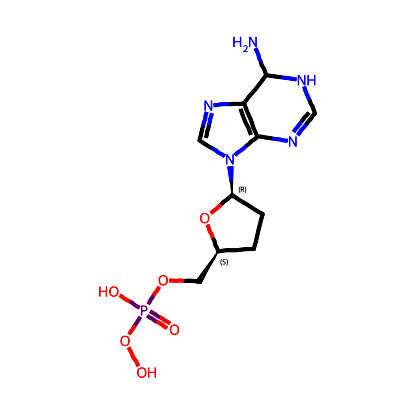 NC1NC=Nc2c1ncn2[C@H]1CC[C@@H](COP(=O)(O)OO)O1